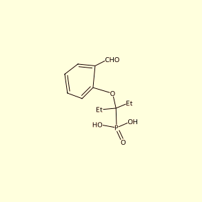 CCC(CC)(Oc1ccccc1C=O)P(=O)(O)O